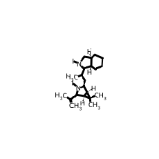 CC(C)C1[C@H]2[C@@H](C(CC(C)C3[C@@H]4CCCC[C@@H]4CN3I)N1I)C2(C)C